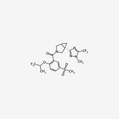 CC(Oc1ccc(S(C)(=O)=O)cc1C(=O)N1CC2C[C@@]2(c2nc(C(F)(F)F)n(C)n2)C1)C(F)(F)F